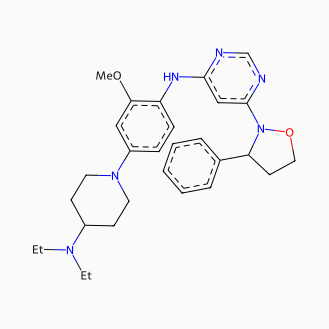 CCN(CC)C1CCN(c2ccc(Nc3cc(N4OCCC4c4ccccc4)ncn3)c(OC)c2)CC1